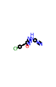 CN1CCN(c2ccc(Nc3ncc4cc(C#Cc5ccc(Cl)cc5)c(=O)n(C)c4n3)cc2)CC1